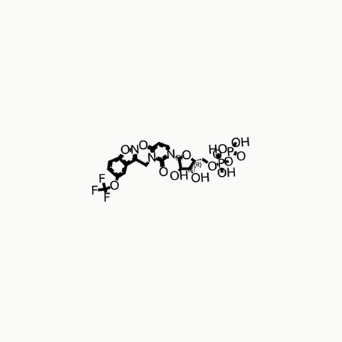 O=c1ccn([C@@H]2O[C@H](COP(=O)(O)OP(=O)(O)O)[C@H](O)C2O)c(=O)n1Cc1noc2ccc(OC(F)(F)F)cc12